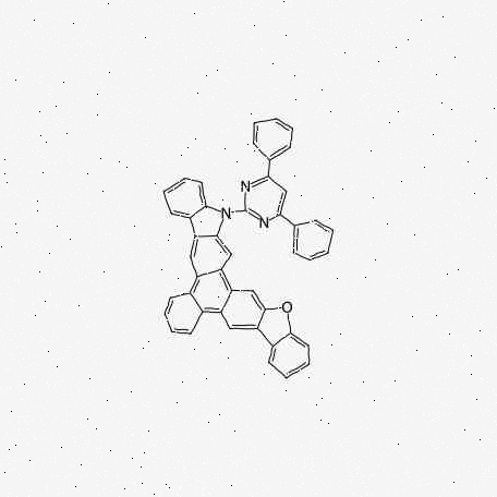 c1ccc(-c2cc(-c3ccccc3)nc(-n3c4ccccc4c4cc5c6ccccc6c6cc7c(cc6c5cc43)oc3ccccc37)n2)cc1